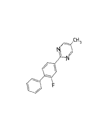 Cc1cnc(-c2ccc(-c3ccccc3)c(F)c2)nc1